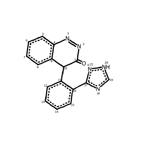 O=C1N=Nc2ccccc2C1c1ccccc1-c1nc[nH]n1